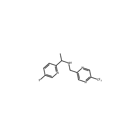 CC(NCc1cnc(C(F)(F)F)cn1)c1ccc(F)cn1